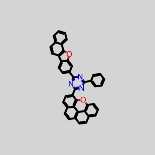 c1ccc(-c2nc(-c3ccc4c(c3)oc3c5ccccc5ccc43)nc(-c3ccc4ccc5ccc6cccc7c6c5c4c3O7)n2)cc1